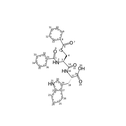 O=C(N[C@@H](CSC(=O)c1ccccc1)C(=O)N[C@@H](Cc1c[nH]c2ccccc12)C(=O)O)c1ccccc1